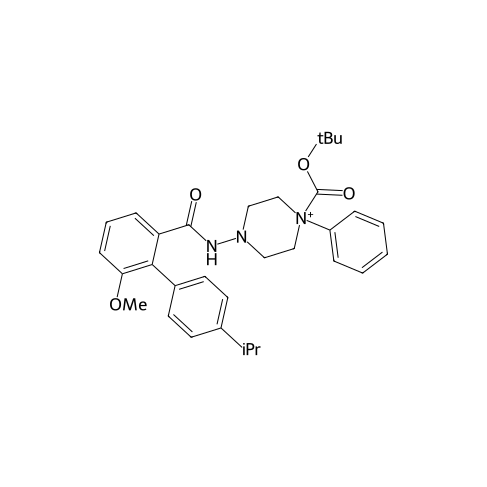 COc1cccc(C(=O)NN2CC[N+](C(=O)OC(C)(C)C)(c3ccccc3)CC2)c1-c1ccc(C(C)C)cc1